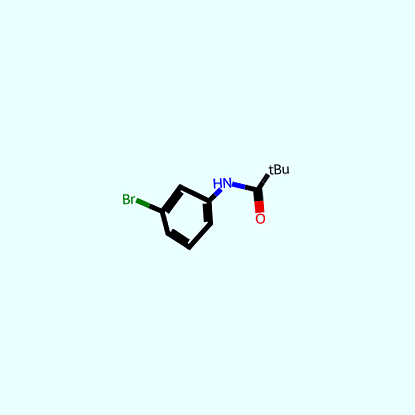 CC(C)(C)C(=O)Nc1cccc(Br)c1